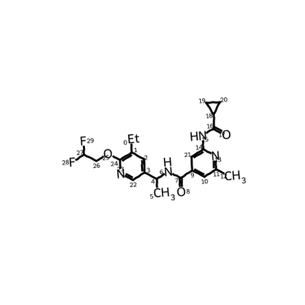 CCc1cc(C(C)NC(=O)c2cc(C)nc(NC(=O)C3CC3)c2)cnc1OCC(F)F